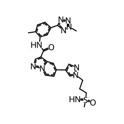 Cc1ccc(-c2nnn(C)n2)cc1NC(=O)c1cnn2ccc(-c3cnn(CCCS(C)(=N)=O)c3)cc12